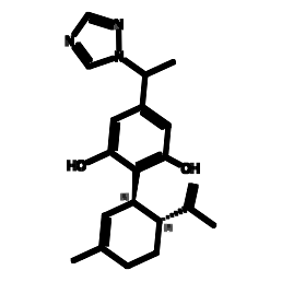 C=C(C)[C@@H]1CCC(C)=C[C@H]1c1c(O)cc(C(C)n2cncn2)cc1O